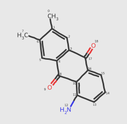 Cc1cc2c(cc1C)C(=O)c1c(N)cccc1C2=O